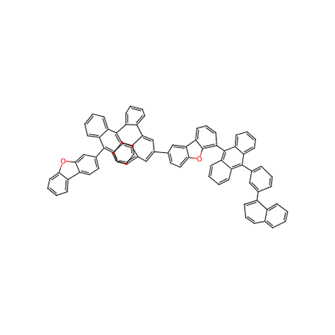 c1cc(-c2cccc3ccccc23)cc(-c2c3ccccc3c(-c3cccc4c3oc3ccc(-c5cc(-c6ccccc6-c6c7ccccc7c(-c7ccc8c(c7)oc7ccccc78)c7ccccc67)c6ccccc6c5)cc34)c3ccccc23)c1